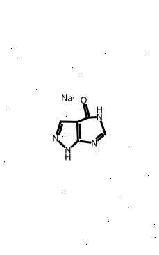 O=c1[nH]cnc2[nH]ncc12.[Na]